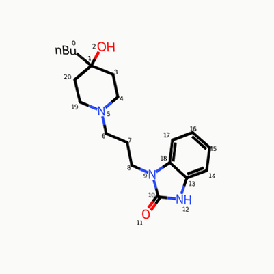 CCCCC1(O)CCN(CCCn2c(=O)[nH]c3ccccc32)CC1